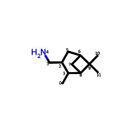 CC1C(CN)CC2CC1C2(C)C